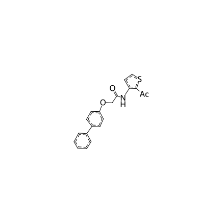 CC(=O)c1sccc1NC(=O)COc1ccc(-c2ccccc2)cc1